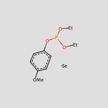 CCOP(OCC)Oc1ccc(OC)cc1.[Se]